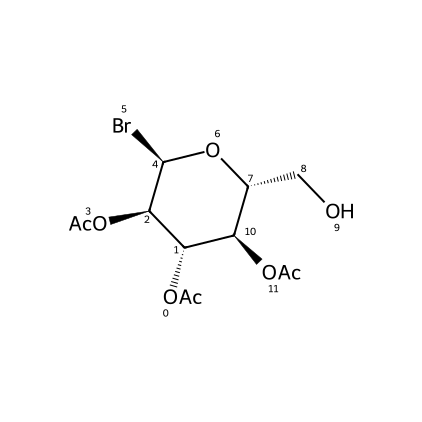 CC(=O)O[C@@H]1[C@@H](OC(C)=O)[C@@H](Br)O[C@H](CO)[C@H]1OC(C)=O